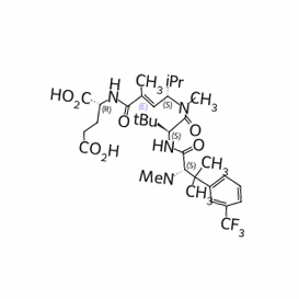 CN[C@H](C(=O)N[C@H](C(=O)N(C)[C@H](/C=C(\C)C(=O)N[C@H](CCC(=O)O)C(=O)O)C(C)C)C(C)(C)C)C(C)(C)c1cccc(C(F)(F)F)c1